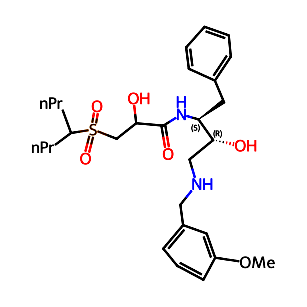 CCCC(CCC)S(=O)(=O)CC(O)C(=O)N[C@@H](Cc1ccccc1)[C@H](O)CNCc1cccc(OC)c1